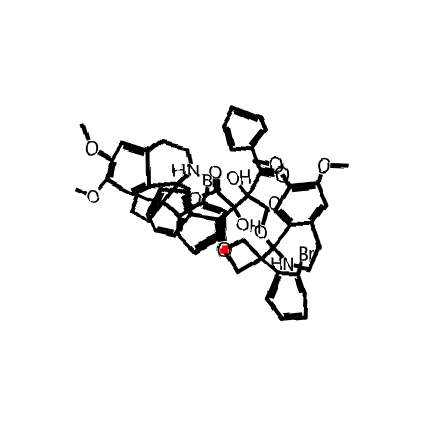 COc1cc2c(cc1OC)C(OC(=O)C(O)(C(=O)c1ccccc1)C(O)(C(=O)OC1(C3(c4ccccc4Br)CCC3)NCCc3cc(OC)c(OC)cc31)C(=O)c1ccccc1)(C1(c3ccccc3Br)CCC1)NCC2